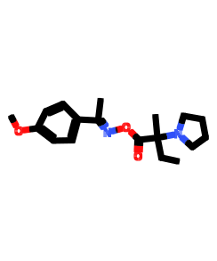 CCC(C)(C(=O)O/N=C(\C)c1ccc(OC)cc1)N1CCCC1